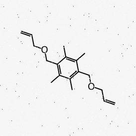 C=CCOCc1c(C)c(C)c(COCC=C)c(C)c1C